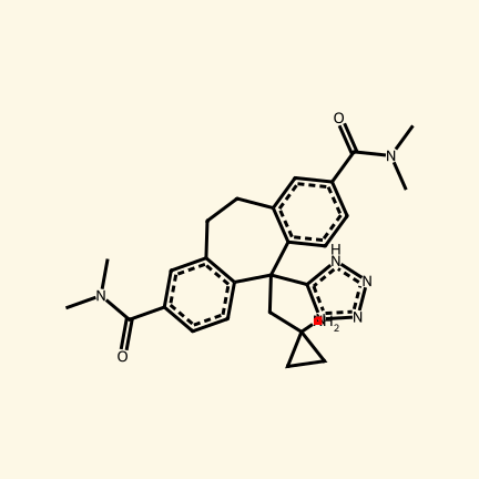 CN(C)C(=O)c1ccc2c(c1)CCc1cc(C(=O)N(C)C)ccc1C2(CC1(N)CC1)c1nnn[nH]1